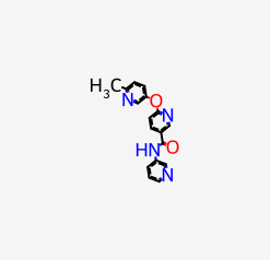 Cc1ccc(Oc2ccc(C(=O)Nc3cccnc3)cn2)cn1